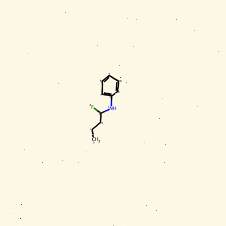 CCCC(F)Nc1ccccc1